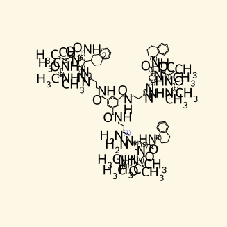 CN[C@@H](C)C(=O)N[C@H](C(=O)N1C[C@@H](n2cc(CCNC(=O)c3cc(C(=O)NCC/C(N)=C/N(N)[C@H]4C[C@@H](C(=O)N[C@@H]5CCCc6ccccc65)N(C(=O)[C@@H](NC(=O)[C@H](C)NC)C(C)(C)C)C4)cc(C(=O)NCCc4cn([C@H]5C[C@@H](C(=O)N[C@@H]6CCCc7ccccc76)N(C(=O)[C@@H](NC(=O)[C@H](C)NC)C(C)(C)C)C5)nn4)c3)nn2)C(C2CCc3ccccc3C2)[C@H]1C(N)=O)C(C)(C)C